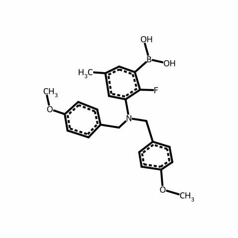 COc1ccc(CN(Cc2ccc(OC)cc2)c2cc(C)cc(B(O)O)c2F)cc1